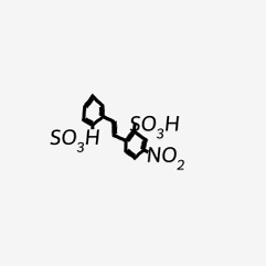 O=[N+]([O-])c1ccc(C=Cc2ccccc2S(=O)(=O)O)c(S(=O)(=O)O)c1